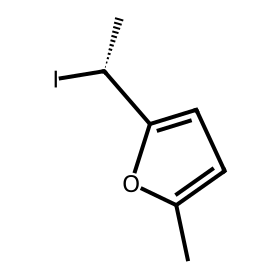 Cc1ccc([C@@H](C)I)o1